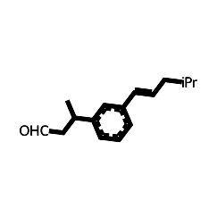 CC(C)CC=Cc1cccc(C(C)CC=O)c1